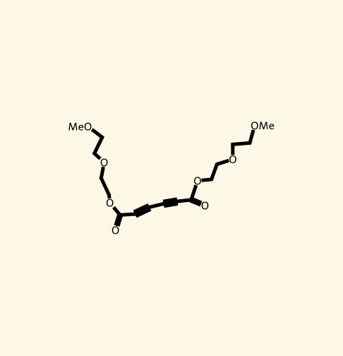 COCCOCCOC(=O)C#CC#CC(=O)OCCOCCOC